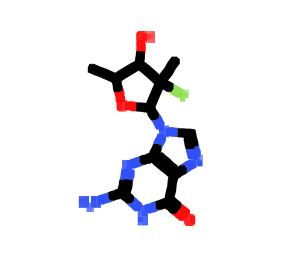 CC1OC(n2cnc3c(=O)[nH]c(N)nc32)C(C)(F)C1O